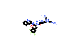 C[N+](CCN)(CCN)CCC[C@H](N)C(=O)N[C@@H](Cc1cc(F)c(F)c(F)c1)C(=O)Nc1cnc2ccccc2c1